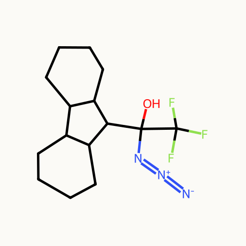 [N-]=[N+]=NC(O)(C1C2CCCCC2C2CCCCC21)C(F)(F)F